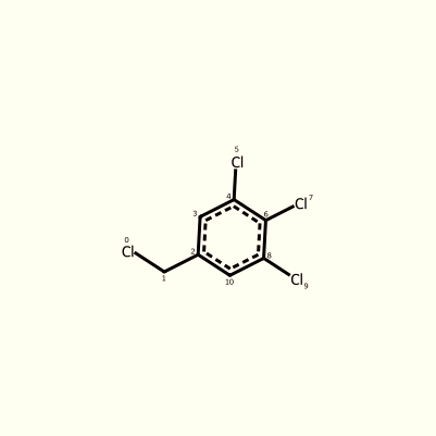 ClCc1cc(Cl)c(Cl)c(Cl)c1